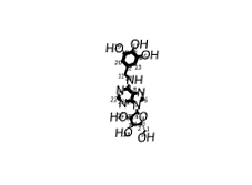 OC[C@H]1OC(n2cnc3c(NCc4cc(O)c(O)c(O)c4)ncnc32)[C@@H](O)[C@@H]1O